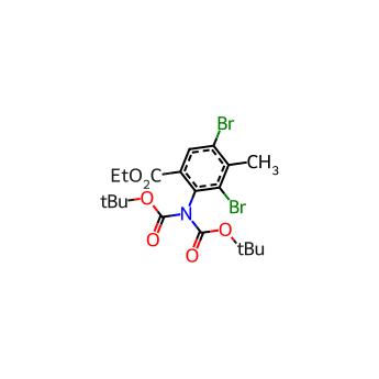 CCOC(=O)c1cc(Br)c(C)c(Br)c1N(C(=O)OC(C)(C)C)C(=O)OC(C)(C)C